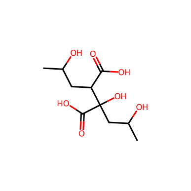 CC(O)CC(C(=O)O)C(O)(CC(C)O)C(=O)O